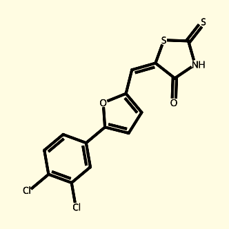 O=C1NC(=S)SC1=Cc1ccc(-c2ccc(Cl)c(Cl)c2)o1